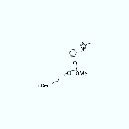 CCCCCCCCCCCCCCCCOCC(COCc1ccccc1C[n+]1csc(C)c1)OC